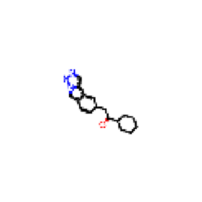 O=C(CC1C=Cc2cn3nncc3c2=C1)C1CCCCC1